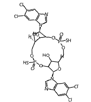 O=P1(S)OC[C@H]2O[C@@H](n3cnc4cc(Cl)c(Cl)cc43)C(OP(=O)(S)OC[C@H]3O[C@@H](n4cnc5cc(Cl)c(Cl)cc54)C(O1)C3O)C2O